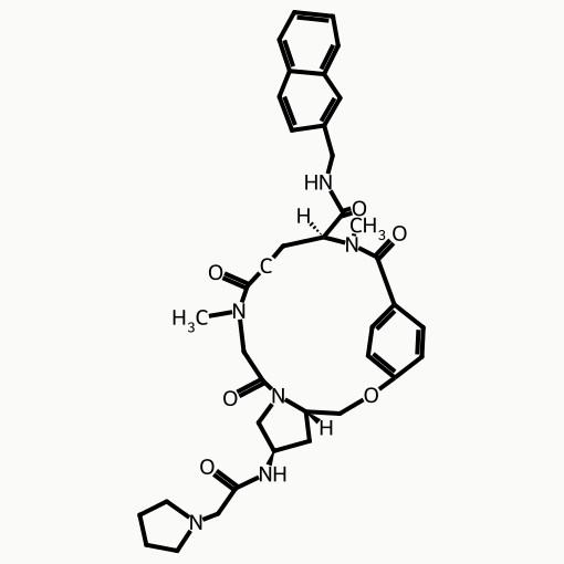 CN1CC(=O)N2C[C@H](NC(=O)CN3CCCC3)C[C@H]2COc2ccc(cc2)C(=O)N(C)[C@H](C(=O)NCc2ccc3ccccc3c2)CCC1=O